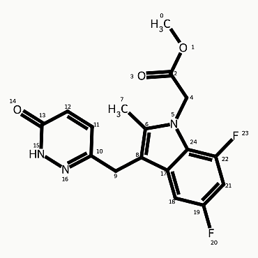 COC(=O)Cn1c(C)c(Cc2ccc(=O)[nH]n2)c2cc(F)cc(F)c21